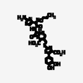 C=CCO/N=C(\C(=O)N[C@@H]1C(=O)N2C(C(=O)O)=C(CSc3nc(C(=O)O)c(-c4ccc(O)c(O)c4)s3)CS[C@H]12)c1csc(N)n1